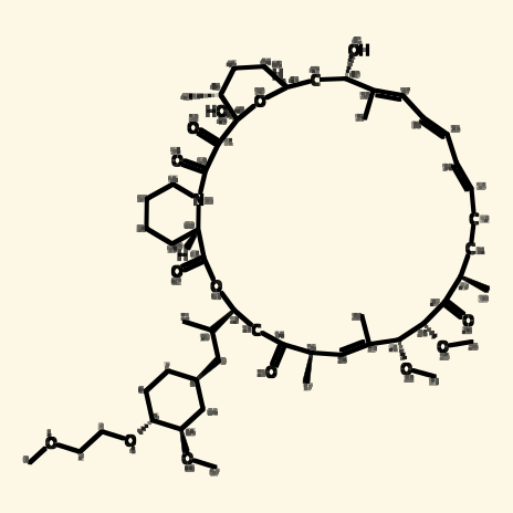 COCCO[C@@H]1CC[C@@H](CC(C)[C@@H]2CC(=O)[C@H](C)/C=C(\C)[C@@H](OC)[C@@H](OC)C(=O)[C@H](C)CC/C=C/C=C/C=C(\C)[C@@H](O)C[C@@H]3CC[C@@H](C)[C@@](O)(O3)C(=O)C(=O)N3CCCC[C@H]3C(=O)O2)C[C@H]1OC